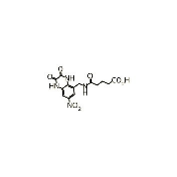 O=C(O)CCCC(=O)NCc1cc([N+](=O)[O-])cc2[nH]c(=O)c(=O)[nH]c12